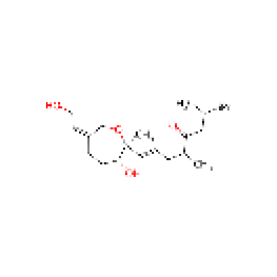 CC(CC=C[C@]1(C)OCC(=CCO)CC[C@H]1O)C(=O)CC(C)C(C)C